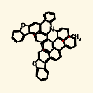 CC1C=C(c2cccc3cccc(-c4ccccc4)c23)C(N(c2cccc(-c3ccc4c(c3)oc3ccccc34)c2)c2ccccc2-c2ccc3c(c2)oc2ccccc23)=CC1